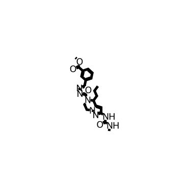 CCCC1c2cc(NC(=O)NC)nn2CCN1c1nnc(-c2cccc(C(=O)OC)c2)o1